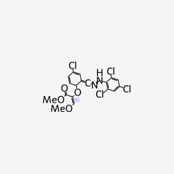 CO/C=C(/OC1C=CC(Cl)=CC1=C=NNc1c(Cl)cc(Cl)cc1Cl)C(=O)OC